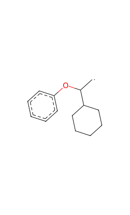 [CH2]C(Oc1ccccc1)C1CCCCC1